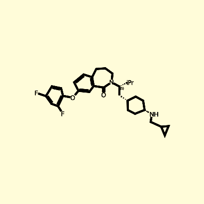 CC(C)[C@H](C[C@H]1CC[C@@H](NCC2CC2)CC1)N1CCCc2ccc(Oc3ccc(F)cc3F)cc2C1=O